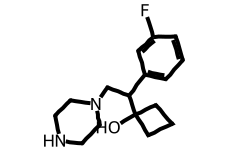 OC1(C(CN2CCNCC2)c2cccc(F)c2)CCC1